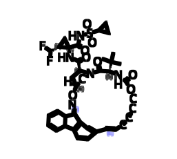 CC(C)(C)[C@@H]1NC(=O)OCCCC/C=C/c2ccc3c(c2)/C(=N\O[C@@H]2C[C@@H](C(=O)N[C@]4(C(=O)NS(=O)(=O)C5CC5)C[C@H]4C(F)F)N(C2)C1=O)C1C=CC=CC31